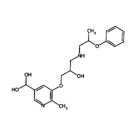 Cc1ncc(C(O)O)cc1OCC(O)CNCC(C)Oc1ccccc1